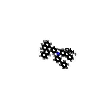 CC1(C)c2ccccc2-c2cc(N(c3ccc(-c4cccc5ccc6c7ccccc7ccc6c45)cc3)c3cccc(-c4ccccc4)c3)ccc21